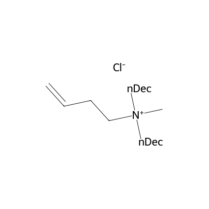 C=CCC[N+](C)(CCCCCCCCCC)CCCCCCCCCC.[Cl-]